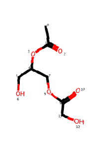 CC(=O)OC(CO)COC(=O)CO